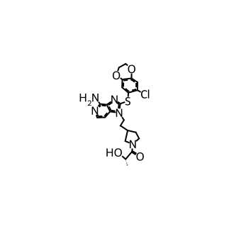 C[C@H](O)C(=O)N1CCC(CCn2c(Sc3cc4c(cc3Cl)OCCO4)nc3c(N)nccc32)C1